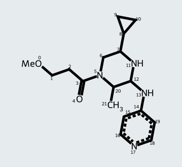 COCCC(=O)N1CC(C2CC2)NC(Nc2ccncc2)C1C